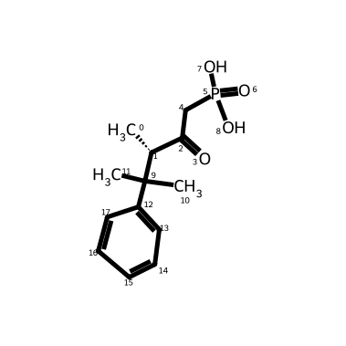 C[C@H](C(=O)CP(=O)(O)O)C(C)(C)c1ccccc1